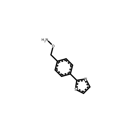 NOCc1ccc(-c2nccs2)cc1